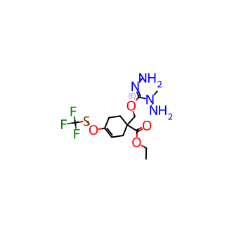 CCOC(=O)C1(CO/C(=N/N)N(C)N)CC=C(OSC(F)(F)F)CC1